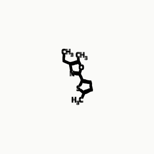 CCc1nc(-c2ccc(C)s2)oc1C